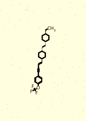 CC[C@H]1CC[C@H](CC[C@H]2CC[C@H](C=CC#Cc3ccc(OC(F)(F)F)cc3)CC2)CC1